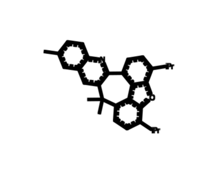 Cc1ccc2nc3c(cc2c1)C(C)(C)c1ccc(C(C)C)c2oc4c(C(C)C)ccc-3c4c12